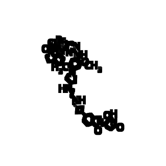 COc1cc(N2CCC(NCCNC[C@H]3C[C@H](C4C=CC5=C(C4)CN(C4CCC(=O)NC4=O)C5=O)C3)CC2)c(C)cc1Nc1ncc(Br)c(Nc2cccc3c2N(S(C)(=O)=O)CC3)n1